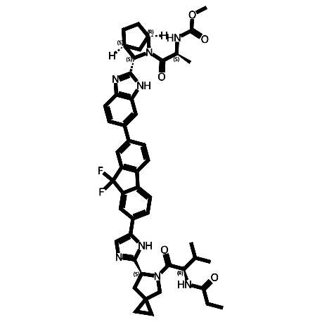 CCC(=O)N[C@@H](C(=O)N1CC2(CC2)C[C@H]1c1ncc(-c2ccc3c(c2)C(F)(F)c2cc(-c4ccc5nc([C@@H]6[C@H]7CC[C@H](C7)N6C(=O)[C@H](C)NC(=O)OC)[nH]c5c4)ccc2-3)[nH]1)C(C)C